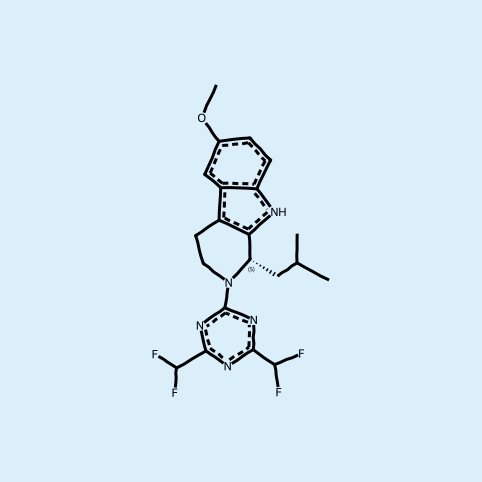 COc1ccc2[nH]c3c(c2c1)CCN(c1nc(C(F)F)nc(C(F)F)n1)[C@H]3CC(C)C